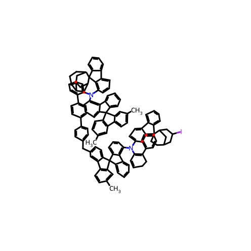 Cc1ccc2c(c1)-c1ccc(C)cc1C21c2ccccc2-c2c(N(c3ccccc3-c3ccc(-c4ccc(Cc5ccc6c(c5)-c5ccc(C)cc5C65c6ccccc6-c6c(N(C7=C(c8ccccc8)CCC=C7)c7ccc8c(c7)C7(CCC9CC(I)CC7C9)c7ccccc7-8)cccc65)cc4)cc3)c3cccc4c3C3(c5ccccc5-4)C4CCCC5CC3CC5C4)cccc21